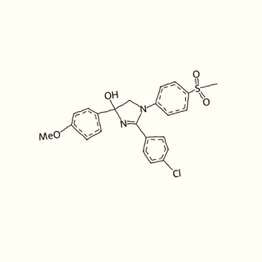 COc1ccc(C2(O)CN(c3ccc(S(C)(=O)=O)cc3)C(c3ccc(Cl)cc3)=N2)cc1